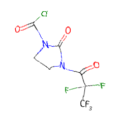 O=C(Cl)N1CCN(C(=O)C(F)(F)C(F)(F)F)C1=O